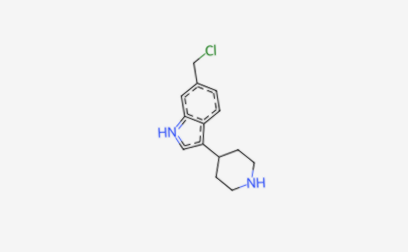 ClCc1ccc2c(C3CCNCC3)c[nH]c2c1